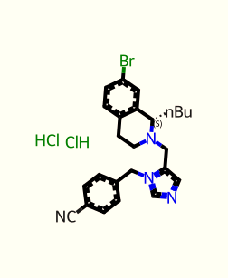 CCCC[C@H]1c2cc(Br)ccc2CCN1Cc1cncn1Cc1ccc(C#N)cc1.Cl.Cl